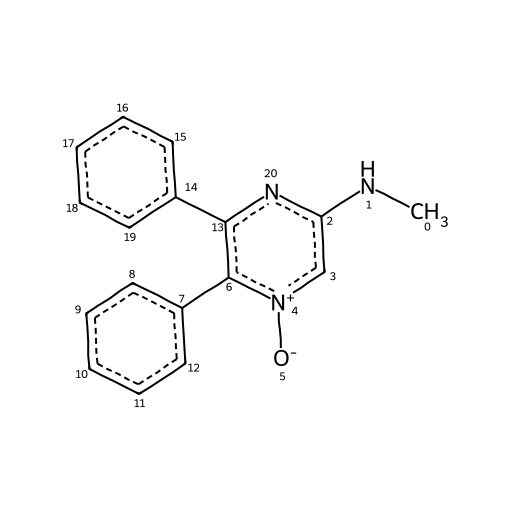 CNc1c[n+]([O-])c(-c2ccccc2)c(-c2ccccc2)n1